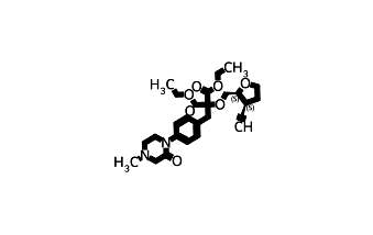 C#C[C@@H]1CCO[C@@H]1COC(Cc1ccc(N2CCN(C)CC2=O)cc1)(C(=O)OCC)C(=O)OCC